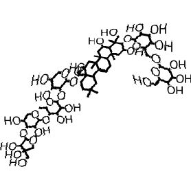 CC1OC(OC2C(OC(=O)C34CCC(C)(C)CC3C3=CCC5C6(C)CC(O)C(OC7OC(COC8OC(CO)C(O)C(O)C8O)C(O)C(O)C7O)C(C)(CO)C6C(O)CC5(C)C3(C)CC4O)OCC(O)C2O)C(O)C(O)C1OC1OCC(O)C(OC2OCC(O)(CO)C2O)C1O